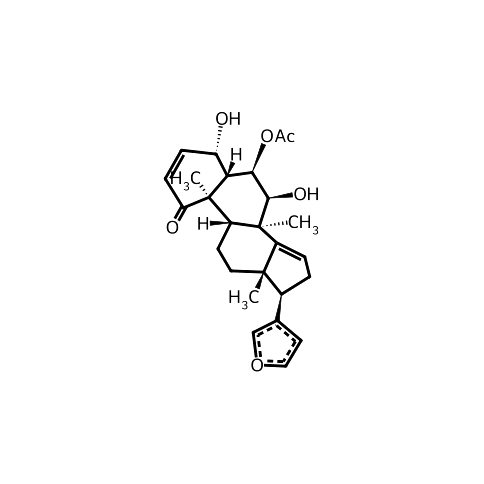 CC(=O)O[C@@H]1[C@H]2[C@@H](O)C=CC(=O)[C@]2(C)[C@H]2CC[C@]3(C)C(=CC[C@H]3c3ccoc3)[C@]2(C)[C@@H]1O